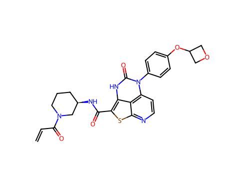 C=CC(=O)N1CCC[C@@H](NC(=O)c2sc3nccc4c3c2NC(=O)N4c2ccc(OC3COC3)cc2)C1